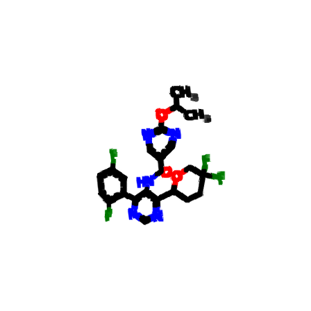 CC(C)Oc1ncc(C(=O)Nc2c(-c3cc(F)ccc3F)ncnc2C2CCC(F)(F)CO2)cn1